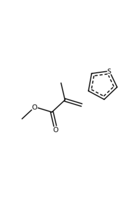 C=C(C)C(=O)OC.c1ccsc1